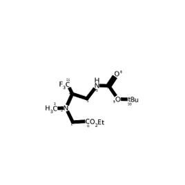 CCOC(=O)CN(C)C(CNC(=O)OC(C)(C)C)C(F)(F)F